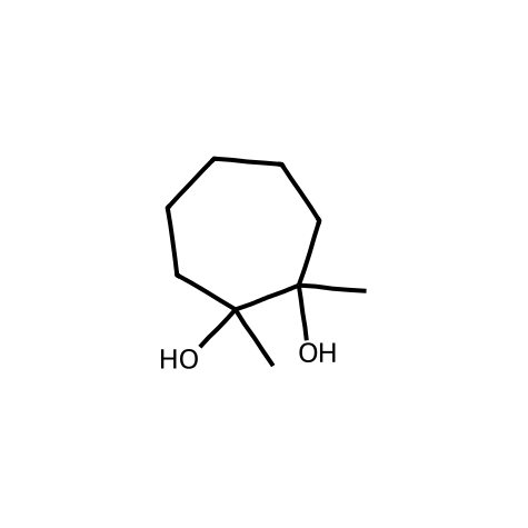 CC1(O)CCCCCC1(C)O